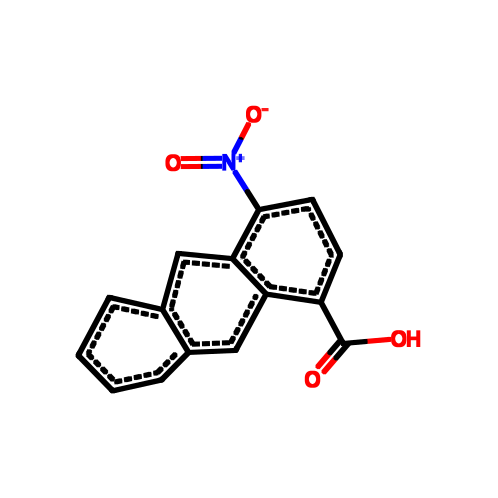 O=C(O)c1ccc([N+](=O)[O-])c2cc3ccccc3cc12